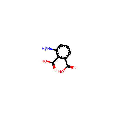 [15NH2]c1cccc(C(=O)O)c1C(=O)O